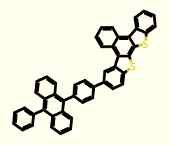 c1ccc(-c2c3ccccc3c(-c3ccc(-c4ccc5sc6c7sc8ccccc8c7c7ccccc7c6c5c4)cc3)c3ccccc23)cc1